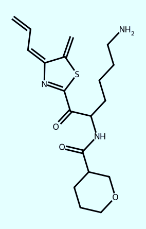 C=C/C=c1/nc(C(=O)C(CCCCN)NC(=O)C2CCCOC2)sc1=C